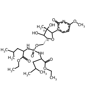 CCOC(=O)C(CC(C)C)NP(=O)(NC(CC(C)C)C(=O)OCC)OC[C@H]1OC(n2ccc(OC)nc2=O)[C@@](C)(O)C1O